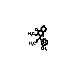 C=C1CCCNN([C@@H](CCC)c2nc3ccncc3c(=O)n2CC)C1